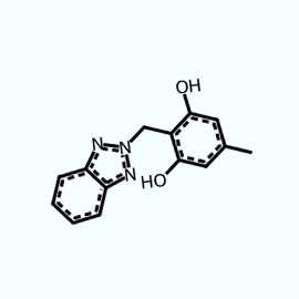 Cc1cc(O)c(Cn2nc3ccccc3n2)c(O)c1